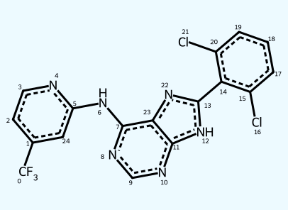 FC(F)(F)c1ccnc(Nc2ncnc3[nH]c(-c4c(Cl)cccc4Cl)nc23)c1